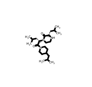 CC(C)CC1CCN(C(=O)[C@H](CC(C)C)N2CCN[C@@H](CC(C)C)C2=O)CC1